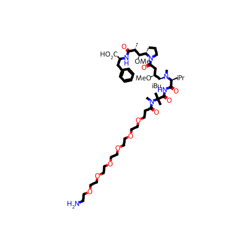 CC[C@H](C)[C@@H]([C@@H](CC(=O)N1CCC[C@H]1[C@H](OC)[C@@H](C)C(=O)N[C@@H](Cc1ccccc1)C(=O)O)OC)N(C)[C@H](C(=O)NC(=O)C(C)(C)N(C)C(=O)CCOCCOCCOCCOCCOCCOCCN)C(C)C